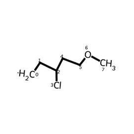 [CH2]CC(Cl)CCOC